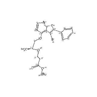 C[C@@H](COc1ncnc2oc(-c3ccccc3)c(Br)c12)OCCC(=O)OC(C)(C)C